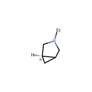 CCN1CC2C[C@H]2C1